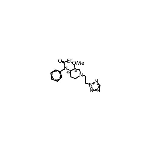 CCC(=O)N(c1ccccc1)[C@@H]1CCN(CCn2ncnn2)C[C@@H]1OC